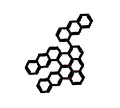 c1ccc2cc3c(-c4ccc5cc6ccccc6cc5c4-c4ccc5cc6ccccc6cc5c4-c4cccc5cc6ccccc6cc45)cccc3cc2c1